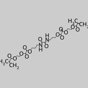 C=C(C)C(=O)OCCOC(=O)C(=O)OCCCNC(=O)C(=O)NCCCOC(=O)C(=O)OCCOC(=O)C(=C)C